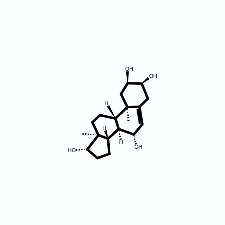 C[C@]12CC[C@H]3[C@@H]([C@@H](O)C=C4C[C@H](O)[C@H](O)C[C@@]43C)[C@@H]1CC[C@@H]2O